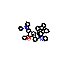 C=C(c1cccc(-c2nc3ccccc3c3c4c(ccc23)C2(c3ccccc3-c3ccccc32)c2ccccc2-4)c1)c1oc2ccccc2c1-c1cc2c(cc1C)c1ccccc1n2-c1ccccc1